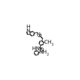 Cc1cc(C(=O)Nc2ccccc2N)ccc1C=C1CN(Cc2ccc3cc[nH]c3c2)C1